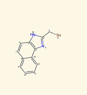 SCc1nc2c(ccc3ccccc32)[nH]1